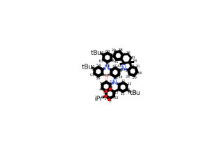 CC(C)C(C)c1ccc2c(c1)N(c1ccc(C(C)(C)C)cc1-c1ccccc1)c1cc(N3c4ccccc4C4(C)CCc5ccccc5C34C)cc3c1B2c1ccc(C(C)(C)C)cc1N3c1cccc(C(C)(C)C)c1